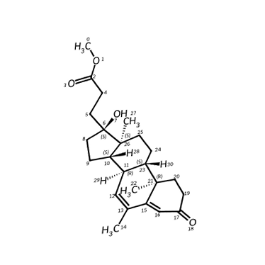 COC(=O)CC[C@@]1(O)CC[C@H]2[C@@H]3C=C(C)C4=CC(=O)CC[C@]4(C)[C@H]3CC[C@@]21C